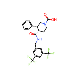 O=C(NCc1cc(C(F)(F)F)cc(C(F)(F)F)c1)[C@H]1CCN(C(=O)O)C[C@H]1c1ccccc1